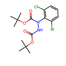 CC(C)(C)OC(=O)NN(C(=O)OC(C)(C)C)c1c(Cl)cccc1Br